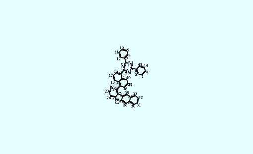 c1ccc(-c2nc(-c3ccccc3)nc(-c3cccc4c(-c5nccc6oc7cc8ccccc8cc7c56)cccc34)n2)cc1